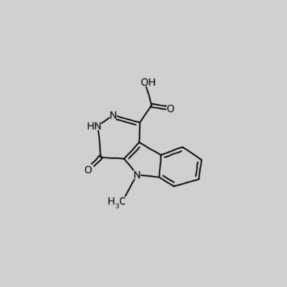 Cn1c2ccccc2c2c(C(=O)O)n[nH]c(=O)c21